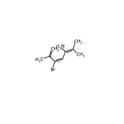 C=C(C)/C(Br)=C\C(=C(C)C)[N+](=O)[O-]